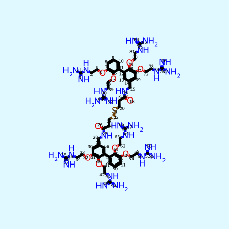 N=C(N)NCCOc1cccc(-c2cc(CNC(=O)CCSSCCC(=O)NCc3cc(OCCNC(=N)N)c(OCCNC(=N)N)c(-c4cccc(OCCNC(=N)N)c4OCCNC(=N)N)c3)cc(OCCNC(=N)N)c2OCCNC(=N)N)c1OCCNC(=N)N